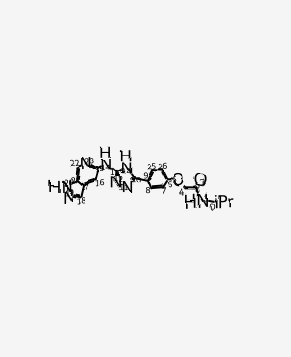 CC(C)NC(=O)COc1ccc(-c2nnc(Nc3cc4cn[nH]c4cn3)[nH]2)cc1